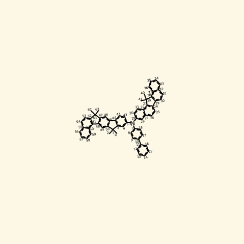 CC1(C)c2cc(N(c3ccc(-c4ccccc4)cc3)c3ccc4c5c(ccc4c3)-c3ccc4ccccc4c3C5(C)C)ccc2-c2cc3c(cc21)-c1c(ccc2ccccc12)C3(C)C